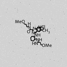 COCCCNC(=O)c1nc(N[C@H]2CCCC[C@H]2NC(=N)CCOC)c2cc(C)ccc2n1.Cl.Cl